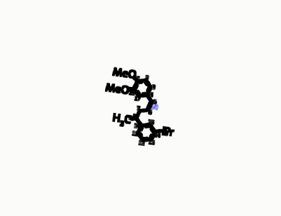 COc1ccc(/C=C\CC(C)c2cccc(C(C)C)c2)cc1OC